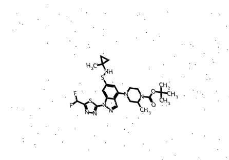 CC1CN(c2cc(SNC3(C)CC3)cc3c2cnn3-c2nnc(C(F)F)s2)CCN1C(=O)OC(C)(C)C